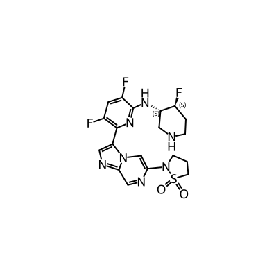 O=S1(=O)CCCN1c1cn2c(-c3nc(N[C@H]4CNCC[C@@H]4F)c(F)cc3F)cnc2cn1